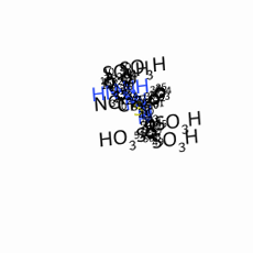 Cc1c(C#N)c(Nc2ccc(S(=O)(=O)O)cc2)nc(Nc2ccc(S(=O)(=O)O)cc2)c1N=Nc1nc(-c2ccc3ccccc3c2)c(N=Nc2cc(S(=O)(=O)O)c3cc(S(=O)(=O)O)cc(S(=O)(=O)O)c3c2)s1